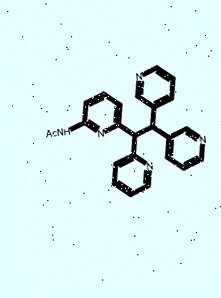 CC(=O)Nc1cccc(C(c2ccccn2)C(c2cccnc2)c2cccnc2)n1